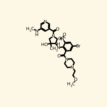 CNc1cncc(C(=O)N2CC(Nc3c(C(=O)N4CCN(CCOC)CC4)cc(Br)cc3[N+](=O)[O-])C(C)(O)C2)c1